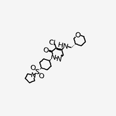 O=c1c(Cl)c(NC[C@H]2CCCOC2)cnn1[C@H]1CC[C@@H](S(=O)(=O)N2CCCC2)CC1